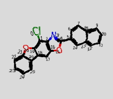 Clc1c2nc(-c3ccc4ccccc4c3)oc2cc2c1oc1ccccc12